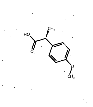 COc1ccc([C@H](C)C(=O)O)cc1